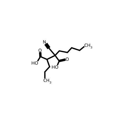 CCCCCC(C#N)(C(=O)O)C(CCC)C(=O)O